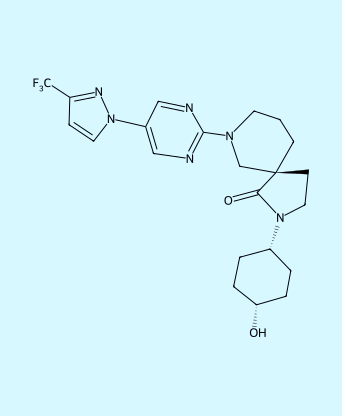 O=C1N([C@H]2CC[C@@H](O)CC2)CC[C@@]12CCCN(c1ncc(-n3ccc(C(F)(F)F)n3)cn1)C2